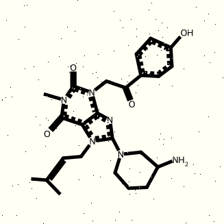 CC(C)=CCn1c(N2CCCC(N)C2)nc2c1c(=O)n(C)c(=O)n2CC(=O)c1ccc(O)cc1